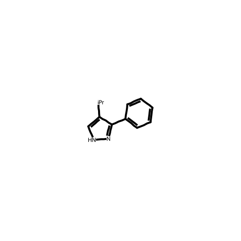 CC(C)c1c[nH]nc1-c1ccccc1